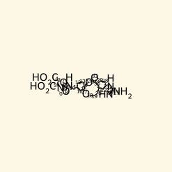 CN([C@@H](CC(=O)O)C(=O)O)S(=O)(=O)NCc1ccc2c(c1)OCCCc1cc(NC(=N)N)ccc1C(=O)O2